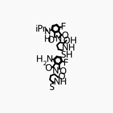 CC(C)Nc1ccc(F)c2c1C(=O)N(C1CC/C(=[SH]\c3cc(N)c4c(c3F)C(=O)N(C3CCC(=S)NC3=O)C4=O)NC1O)C2=O